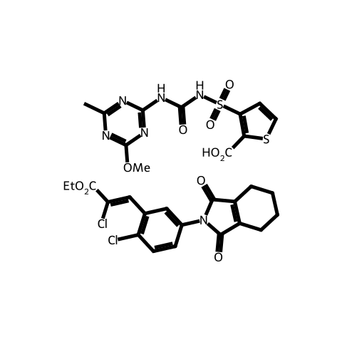 CCOC(=O)/C(Cl)=C/c1cc(N2C(=O)C3=C(CCCC3)C2=O)ccc1Cl.COc1nc(C)nc(NC(=O)NS(=O)(=O)c2ccsc2C(=O)O)n1